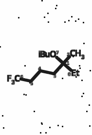 CCC(C)(CCCC(F)(F)F)OCC(C)C